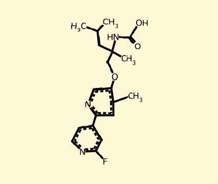 Cc1cc(-c2ccnc(F)c2)ncc1OCC(C)(CC(C)C)NC(=O)O